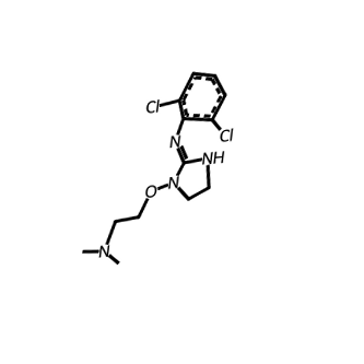 CN(C)CCON1CCNC1=Nc1c(Cl)cccc1Cl